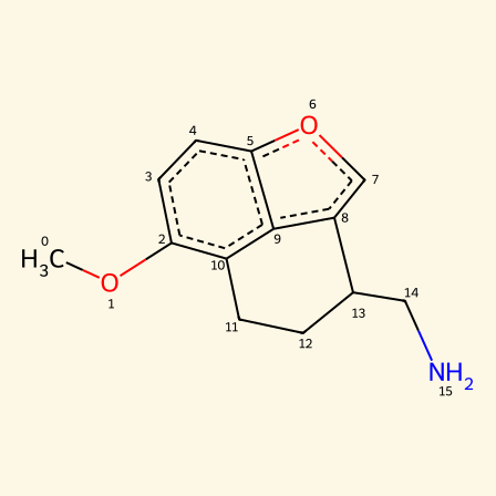 COc1ccc2occ3c2c1CCC3CN